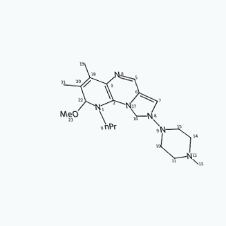 CCCN1C2=C(N=CC3=CN(N4CCN(C)CC4)CN32)C(C)=C(C)C1OC